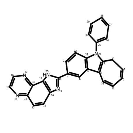 C1=CCc2c(c3cc(-c4nc5ccc6nccnc6c5[nH]4)ccc3n2-c2ccccc2)C=C1